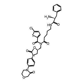 N[C@@H](Cc1ccccc1)C(=O)NCCCCC(=O)N(C[C@H]1CN(c2ccc(N3CCOCC3=O)cc2)C(=O)O1)C(=O)c1ccc(Cl)s1